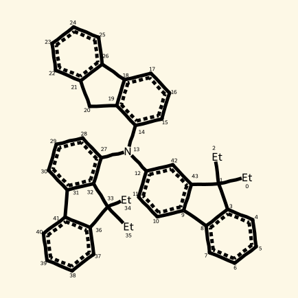 CCC1(CC)c2ccccc2-c2ccc(N(c3cccc4c3Cc3ccccc3-4)c3cccc4c3C(CC)(CC)c3ccccc3-4)cc21